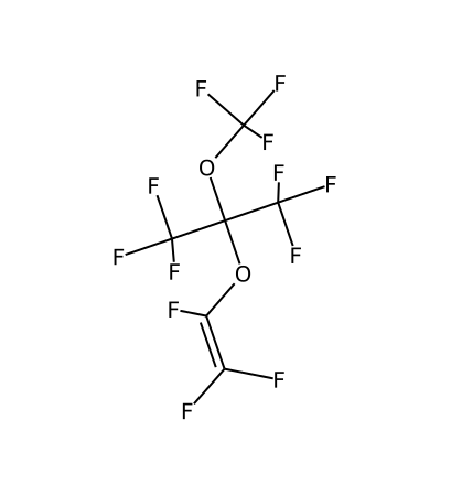 FC(F)=C(F)OC(OC(F)(F)F)(C(F)(F)F)C(F)(F)F